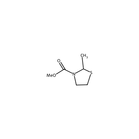 COC(=O)N1CCSC1C